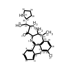 CC(C(=O)C1N=C(c2ccccc2F)c2cc(Cl)ccc2N(C)C1N)C(O)[C@H]1CCCN1